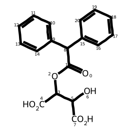 O=C(OC(C(=O)O)C(O)C(=O)O)C(c1ccccc1)c1ccccc1